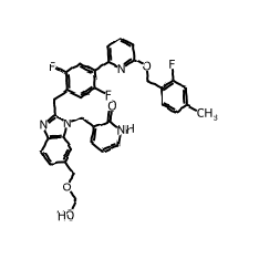 Cc1ccc(COc2cccc(-c3cc(F)c(Cc4nc5ccc(COCO)cc5n4Cc4ccc[nH]c4=O)cc3F)n2)c(F)c1